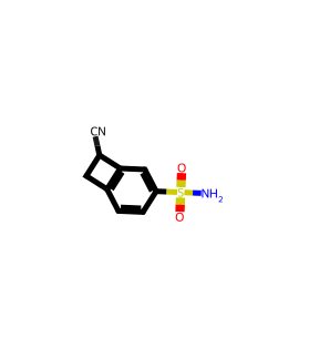 N#CC1Cc2ccc(S(N)(=O)=O)cc21